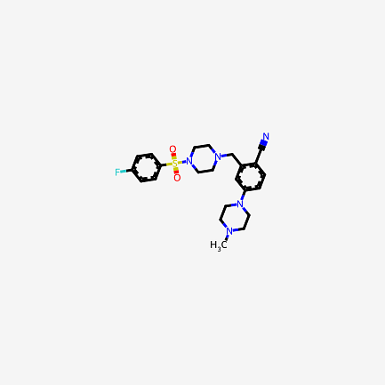 CN1CCN(c2ccc(C#N)c(CN3CCN(S(=O)(=O)c4ccc(F)cc4)CC3)c2)CC1